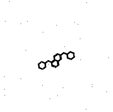 c1cc(CC2CCCCC2)c2ccc(CC3CCCCC3)cc2c1